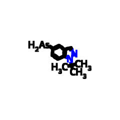 CC(C)(C)n1ncc2cc([AsH2])ccc21